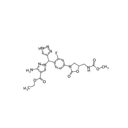 CCOC(=O)c1cn(C(c2c[nH]nn2)c2ccc(N3CC(CNC(=O)OC)OC3=O)cc2F)nc1N